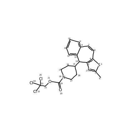 Cc1nc2c(s1)C=Cc1ccccc1C2C1CCN(C(=O)OCC(Cl)(Cl)Cl)CC1